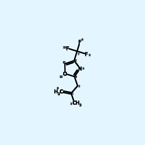 C=C(C)Cc1nc(C(F)(F)F)co1